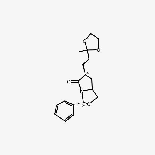 CC1(CC[C@H]2CC3CO[C@H](c4ccccc4)N3C2=O)OCCO1